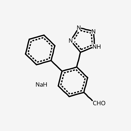 O=Cc1ccc(-c2ccccc2)c(-c2nnn[nH]2)c1.[NaH]